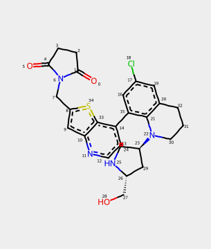 O=C1CCC(=O)N1Cc1cc2nccc(-c3cc(Cl)cc4c3N([C@@H]3CN[C@@H](CO)C3)CCC4)c2s1